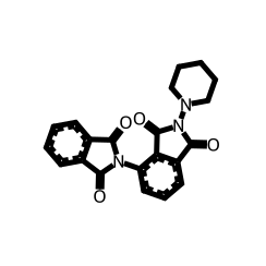 O=C1c2ccccc2C(=O)N1c1cccc2c1C(=O)N(N1CCCCC1)C2=O